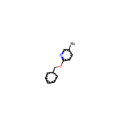 CC(C)(C)c1ccc(OCc2ccccc2)nc1